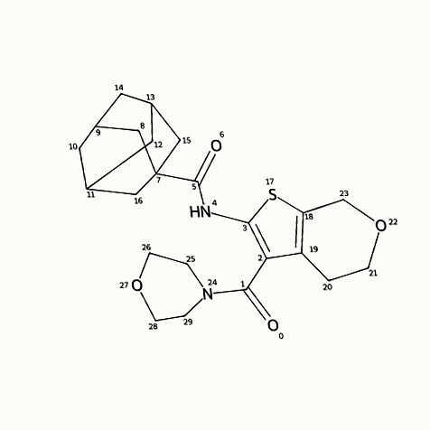 O=C(c1c(NC(=O)C23CC4CC(CC(C4)C2)C3)sc2c1CCOC2)N1CCOCC1